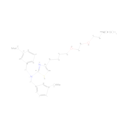 COc1cccc(CN(Cc2cccc(OC)c2)c2nc(CCCCOCCOCCN(C)O)cs2)c1